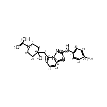 O=C(O)N1CCC(O)(Cc2nccc3nc(Nc4ccc(F)cc4)nn23)CC1